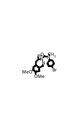 COc1cc2c(cc1OC)CC(C(C)C)N(C(=O)N(C)c1ccc(Br)cc1)N=C2